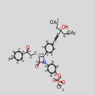 CC(=O)OCC(O)(C#Cc1ccc([C@@H]2[C@@H](CCC(=O)c3ccc(F)cc3)C(=O)N2c2ccc(OS(=O)(=O)C(F)(F)F)cc2)cc1)COC(C)=O